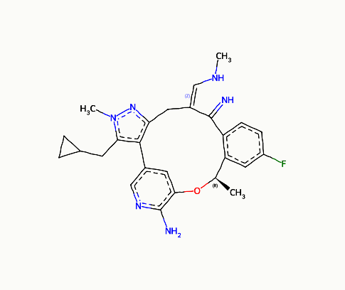 CN/C=C1/Cc2nn(C)c(CC3CC3)c2-c2cnc(N)c(c2)O[C@H](C)c2cc(F)ccc2C1=N